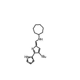 CC(C)(C)C1=CC(=CNC2CCCCCC2)N=C1c1ccc[nH]1